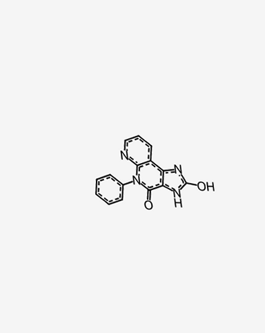 O=c1c2[nH]c(O)nc2c2cccnc2n1-c1ccccc1